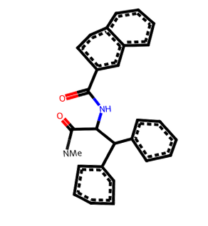 CNC(=O)C(NC(=O)c1ccc2ccccc2c1)C(c1ccccc1)c1ccccc1